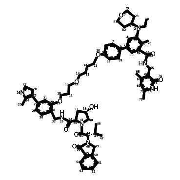 CCN(c1cc(-c2ccc(OCCCCOCCCOc3cc(C4=C(C)N=CC4)ccc3CNC(=O)C3C[C@@H](O)CN3C(=O)[C@H](C(C)C)N3Cc4ccccc4C3=O)cc2)cc(C(=O)NCc2c(C)cc(C)[nH]c2=O)c1C)C1CCOCC1